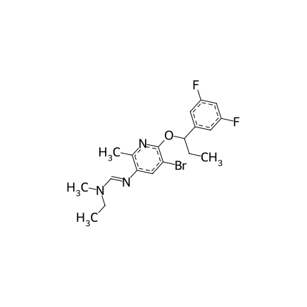 CCC(Oc1nc(C)c(/N=C/N(C)CC)cc1Br)c1cc(F)cc(F)c1